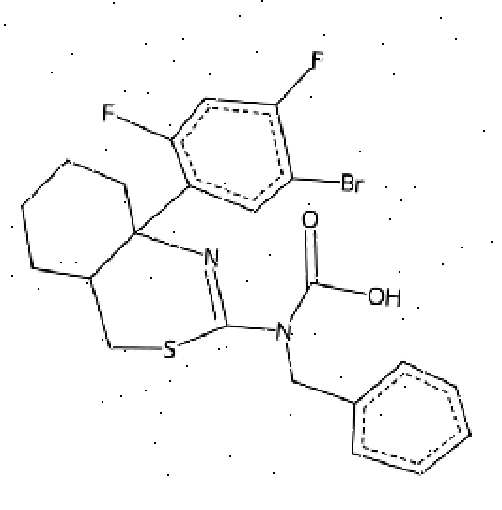 O=C(O)N(Cc1ccccc1)C1=NC2(c3cc(Br)c(F)cc3F)CCCCC2CS1